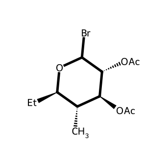 CC[C@H]1OC(Br)[C@H](OC(C)=O)[C@@H](OC(C)=O)[C@@H]1C